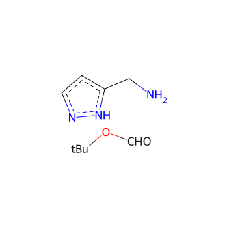 CC(C)(C)OC=O.NCc1ccn[nH]1